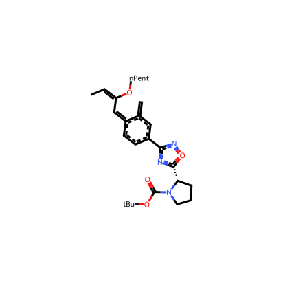 C=c1cc(-c2noc([C@@H]3CCCN3C(=O)OC(C)(C)C)n2)cc/c1=C/C(=C\C)OCCCCC